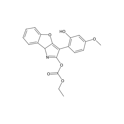 CCOC(=O)OC1=NC2C(=C1c1ccc(OC)cc1O)Oc1ccccc12